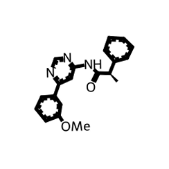 COc1cccc(-c2cc(NC(=O)[C@H](C)c3ccccc3)ncn2)c1